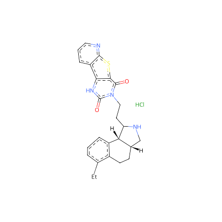 CCc1cccc2c1CC[C@H]1CNC(CCn3c(=O)[nH]c4c(sc5ncccc54)c3=O)[C@@H]21.Cl